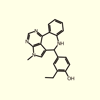 CCc1cc(C2Nc3ccccc3-c3ncnc4c3c2cn4C)ccc1O